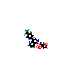 OC1(COc2ncc(-c3ccc(C(F)(F)F)cc3)c3ncccc23)CCOC1